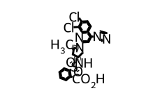 C[C@@H]1C[C@@H](NS(=O)(=O)c2ccccc2C(=O)O)CN1c1cc(-n2ccnc2)c2ccc(Cl)c(Cl)c2n1